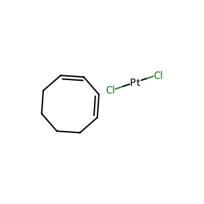 C1=CCCCCC=C1.[Cl][Pt][Cl]